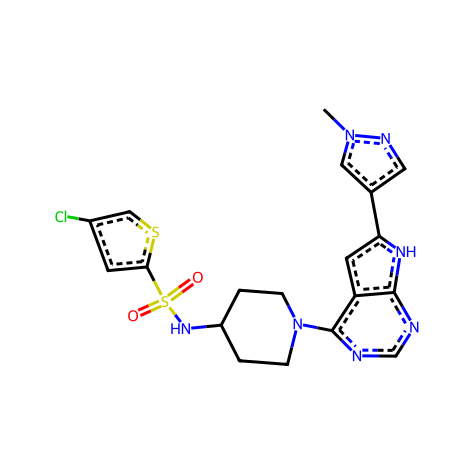 Cn1cc(-c2cc3c(N4CCC(NS(=O)(=O)c5cc(Cl)cs5)CC4)ncnc3[nH]2)cn1